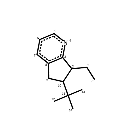 CCC1c2ncccc2CC1C(C)(C)C